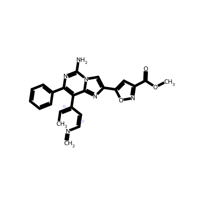 C=N/C=C\C(=C/C)c1c(-c2ccccc2)nc(N)n2cc(-c3cc(C(=O)OC)no3)nc12